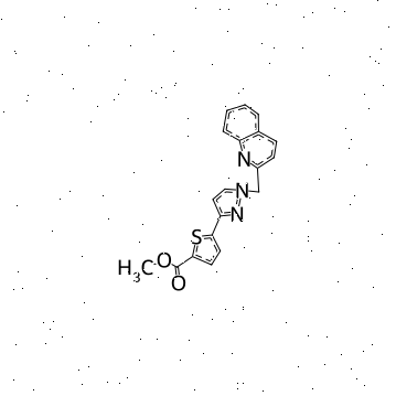 COC(=O)c1ccc(-c2ccn(Cc3ccc4ccccc4n3)n2)s1